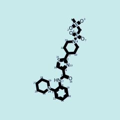 CS(=O)(=O)CS(=O)(=O)N1CCC(c2nc(C(=O)Nc3ccccc3N3CCCCC3)cs2)CC1